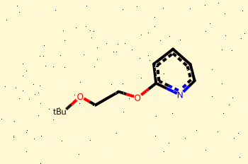 CC(C)(C)OCCOc1ccccn1